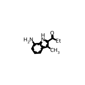 CCC(=O)c1[nH]c2c(N)cccc2c1C